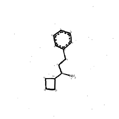 N[C@H](CCc1ccccc1)C1CCC1